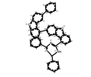 c1ccc(C2=NC(c3ccccc3)NC(c3cccc4oc5ccc(-c6cccc7oc8ccc(-c9ccccc9)cc8c67)cc5c34)=N2)cc1